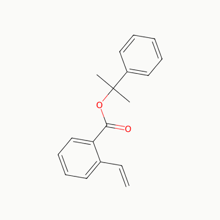 C=Cc1ccccc1C(=O)OC(C)(C)c1ccccc1